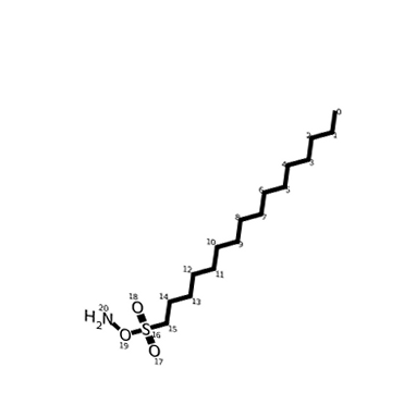 CCCCCCCCCCCCCCCCS(=O)(=O)ON